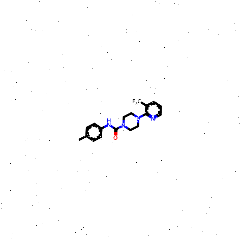 Cc1ccc(NC(=O)N2CCN(c3ncccc3C(F)(F)F)CC2)cc1